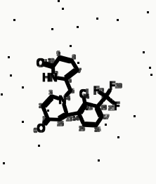 O=c1ccn(Cc2cccc(=O)[nH]2)c(-c2cccc(C(F)(F)F)c2Cl)c1